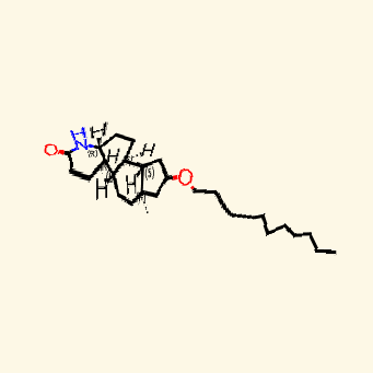 CCCCCCCCCCOC1C[C@H]2[C@@H]3CC[C@H]4NC(=O)CC[C@@H]4[C@H]3CC[C@]2(C)C1